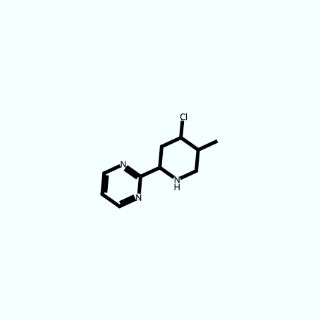 CC1CNC(c2ncccn2)CC1Cl